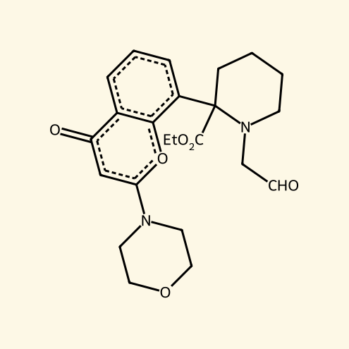 CCOC(=O)C1(c2cccc3c(=O)cc(N4CCOCC4)oc23)CCCCN1CC=O